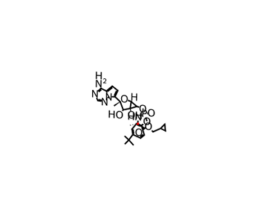 C[C@H](NP(=O)(Oc1ccc(C(C)(C)C)cc1)OC1[C@H]2O[C@@](C)(c3ccc4c(N)ncnn34)[C@H](O)[C@@]12O)C(=O)OCC1CC1